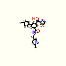 Cc1ccc(-c2cc(C(=O)NCCc3ccc(C)nc3)cc([C@@H](O)c3nccs3)c2)cc1